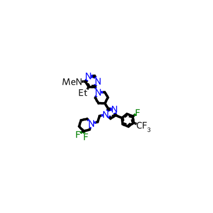 CCc1c(NC)ncnc1N1CCC(c2nc(-c3ccc(C(F)(F)F)c(F)c3)cn2CCN2CCCC(F)(F)C2)CC1